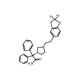 [2H]C1([2H])Cc2cc(CCN3CC[C@@H](C(C(N)=O)(c4ccccc4)c4ccccc4)C3)ccc2O1